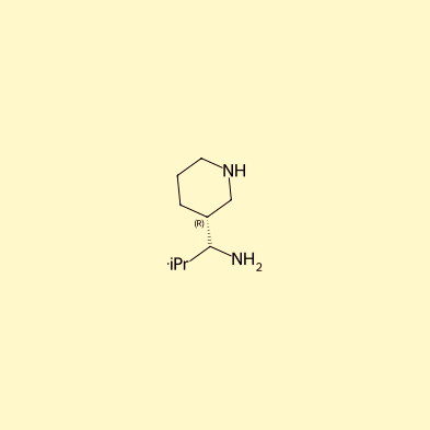 C[C](C)C(N)[C@@H]1CCCNC1